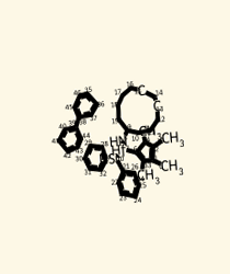 CC1=C(C)C(C)[C]([Hf]([NH]C2CCCCCCCCCC2)[SiH](c2ccccc2)c2ccccc2)=C1C.c1ccc(-c2ccccc2)cc1